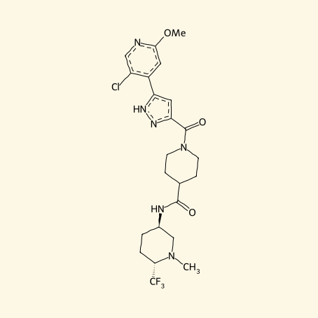 COc1cc(-c2cc(C(=O)N3CCC(C(=O)N[C@@H]4CC[C@@H](C(F)(F)F)N(C)C4)CC3)n[nH]2)c(Cl)cn1